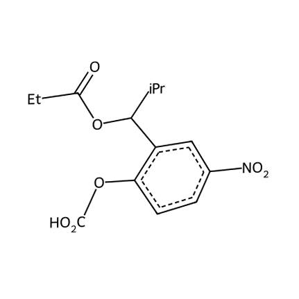 CCC(=O)OC(c1cc([N+](=O)[O-])ccc1OC(=O)O)C(C)C